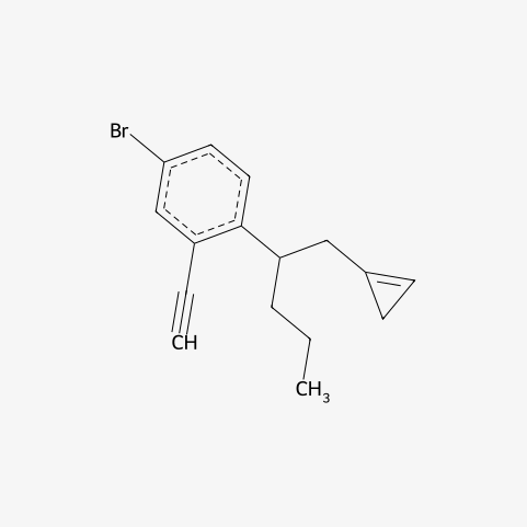 C#Cc1cc(Br)ccc1C(CCC)CC1=CC1